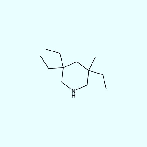 CCC1(C)CNCC(CC)(CC)C1